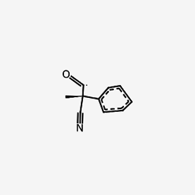 C[C@]([C]=O)(C#N)c1ccccc1